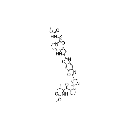 COC(=O)N[C@@H](C)C(=O)N1CCC[C@H]1c1ncc(-c2nc3cc4nc(-c5cnc([C@@H]6CCCN6C(=O)[C@@H](NC(=O)OC)C(C)C)[nH]5)oc4cc3o2)[nH]1